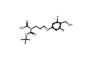 CC(C)(C)OC(=O)N(CCCOc1cc(F)c(CO)c(F)c1)C(=O)O